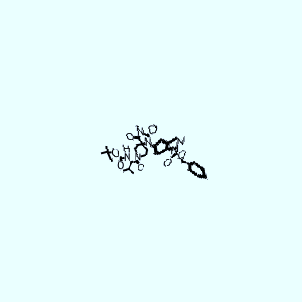 CC(C)[C@@H](NC(=O)OC(C)(C)C)C(=O)N1CCC2(CC1)C(=O)N(C)C(=O)N2c1ccc2c(cnn2C(=O)OCc2ccccc2)c1